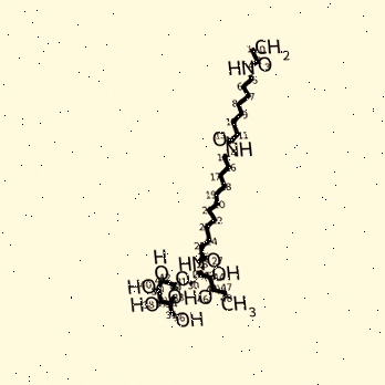 C=CC(=O)NCCCCCCCC(=O)NCCCCCCCCCCCC(=O)N[C@@H](CO[C@H]1OC(CO)[C@H](O)[C@H](O)C1O)[C@H](O)[C@H](O)CC